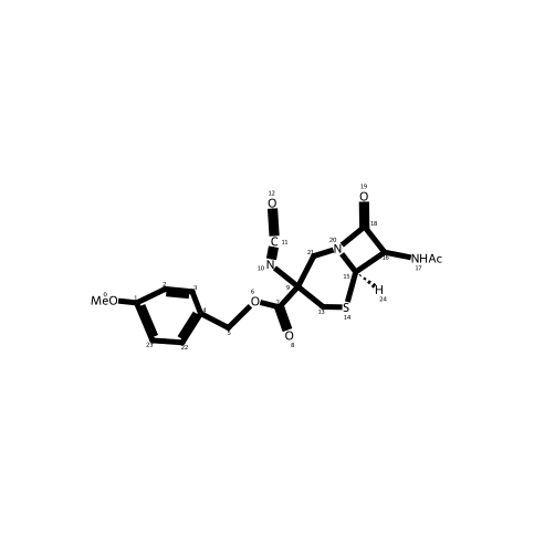 COc1ccc(COC(=O)C2(N=C=O)CS[C@@H]3C(NC(C)=O)C(=O)N3C2)cc1